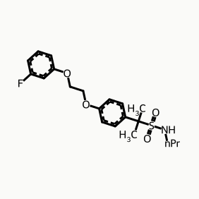 CCCNS(=O)(=O)C(C)(C)c1ccc(OCCOc2cccc(F)c2)cc1